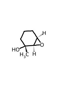 C[C@@]1(O)CCC[C@H]2O[C@H]21